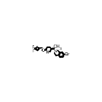 C[C@H](c1ccc(OCC2CC(F)(F)C2)nc1)N1CCc2ccc(Br)cc2C1